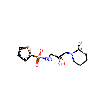 CC[C@H]1CCCCN1C[C@@H](O)CNS(=O)(=O)c1cccs1